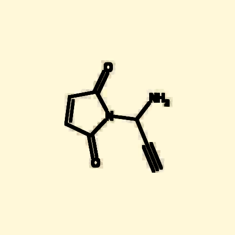 C#CC(N)N1C(=O)C=CC1=O